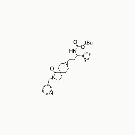 CC(C)(C)OC(=O)NC(CCN1CCC2(CC1)CCN(Cc1cccnc1)C2=O)c1cccs1